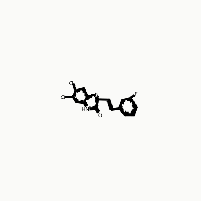 O=c1[nH]c2cc(Cl)c(Cl)cc2nc1C=Cc1cccc(F)c1